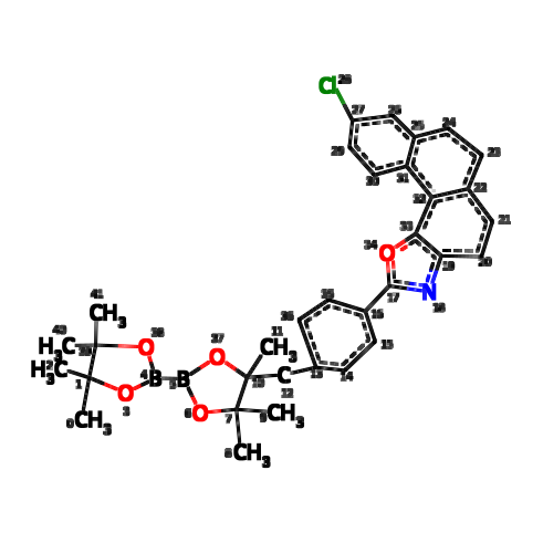 CC1(C)OB(B2OC(C)(C)C(C)(Cc3ccc(-c4nc5ccc6ccc7cc(Cl)ccc7c6c5o4)cc3)O2)OC1(C)C